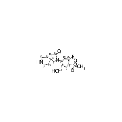 CS(=O)(=O)c1ccc(N2CC3(CCNCC3)CC2=O)cc1F.Cl